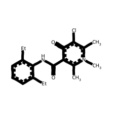 CCc1cccc(CC)c1NC(=O)c1c(C)n(C)c(C)c(Cl)c1=O